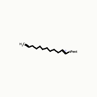 C=CCCCCCCCC/[C]=C/CCCCC